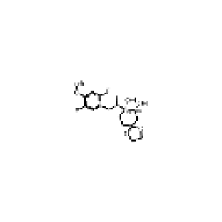 CCCCOc1cc(F)c(CC(C)[C@]2(O)CCC3(C[C@H]2O)OCCO3)cc1F